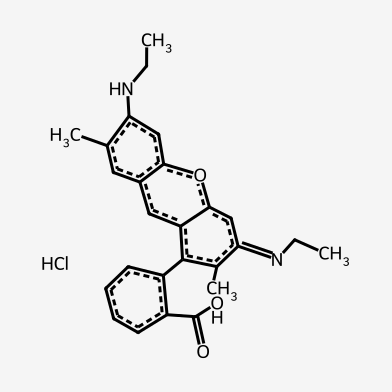 CCN=c1cc2oc3cc(NCC)c(C)cc3cc-2c(-c2ccccc2C(=O)O)c1C.Cl